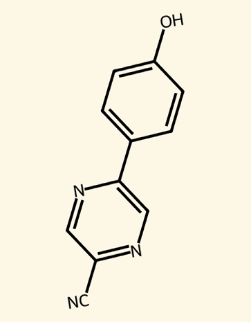 N#Cc1cnc(-c2ccc(O)cc2)cn1